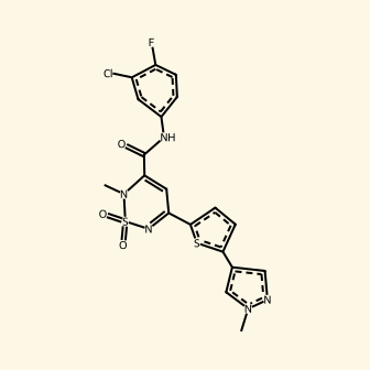 CN1C(C(=O)Nc2ccc(F)c(Cl)c2)=CC(c2ccc(-c3cnn(C)c3)s2)=NS1(=O)=O